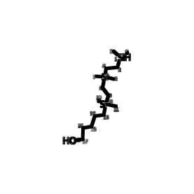 C[SiH](C)CC[Si](C)(C)CC[Si](C)(C)CCCCCO